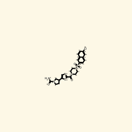 NC(=O)N1CCC(c2cnc(C(=O)N3CCN(S(=O)(=O)c4ccc5cc(Cl)ccc5c4)CC3)s2)C1